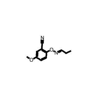 CCC=NOc1ccc(OC)cc1C#N